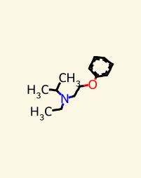 CCN(CCOc1ccccc1)C(C)C